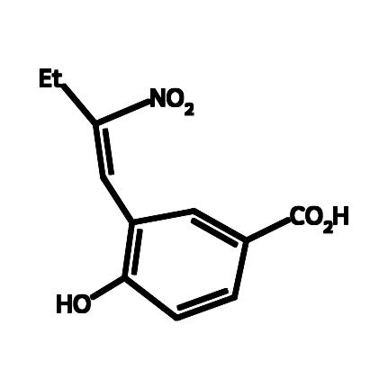 CCC(=Cc1cc(C(=O)O)ccc1O)[N+](=O)[O-]